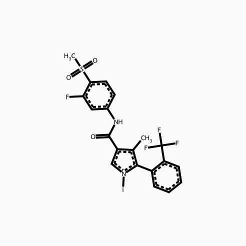 Cc1c(C(=O)Nc2ccc(S(C)(=O)=O)c(F)c2)cn(I)c1-c1ccccc1C(F)(F)F